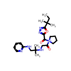 CCC(C)(C)c1nnc(C(=O)[N+]2(C(=O)CNC(C)(C)CNc3ccccn3)CCCC2)o1